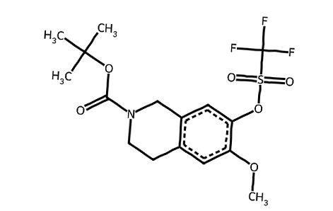 COc1cc2c(cc1OS(=O)(=O)C(F)(F)F)CN(C(=O)OC(C)(C)C)CC2